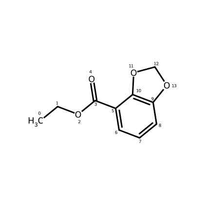 CCOC(=O)c1cccc2c1OCO2